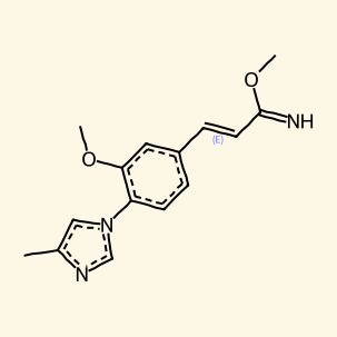 COC(=N)/C=C/c1ccc(-n2cnc(C)c2)c(OC)c1